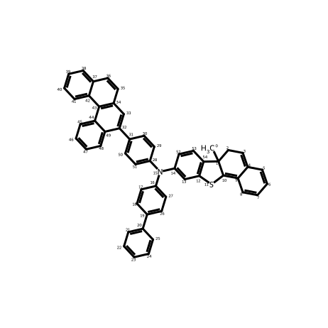 CC12CC=c3ccccc3=C1Sc1cc(N(c3ccc(-c4ccccc4)cc3)c3ccc(-c4cc5ccc6ccccc6c5c5ccccc45)cc3)ccc12